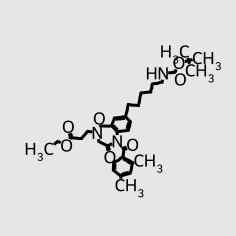 CCOC(=O)CCN1CC(=O)N(C(=O)c2ccc(C)cc2C)c2ccc(CCCCCCNC(=O)OC(C)(C)C)cc2C1=O